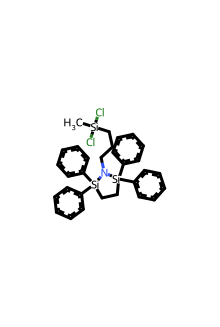 C[Si](Cl)(Cl)CCCN1[Si](c2ccccc2)(c2ccccc2)CC[Si]1(c1ccccc1)c1ccccc1